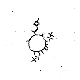 C/C1=C/CC(/C(C)=C/c2csc(C)n2)OC(=O)CC(O[Si](C)(C)C(C)(C)C)C(C)(C)C(=O)C(C)C(O[Si](C)(C)C(C)(C)C)C(C)CCC1